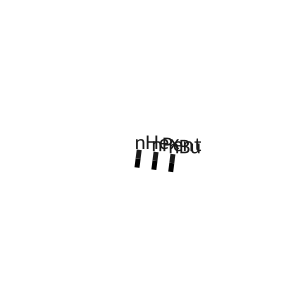 CCCCC.CCCCCC.CCCCCCC